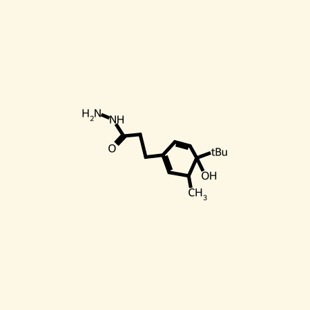 CC1C=C(CCC(=O)NN)C=CC1(O)C(C)(C)C